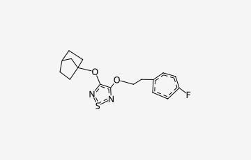 Fc1ccc(CCOc2nsnc2OC23CCC(CC2)C3)cc1